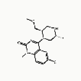 COC[C@H]1CN[C@H](C)CN1c1nc(=O)n(C)c2ccc(Cl)nc12